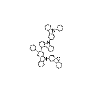 c1ccc(-c2cc3c4ccccc4n(-c4ccc5oc6ccccc6c5c4)c3cc2-c2cccc3c2c2ccccc2n3-c2ccc3c(c2)c2ccccc2n3-c2ccccc2)cc1